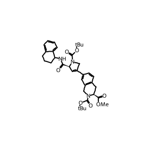 COC(=O)[C@@H]1Cc2ccc(C3=C[C@@H](C(=O)NC4CCCc5ccccc54)N(C(=O)OC(C)(C)C)C3)cc2CN1C(=O)OC(C)(C)C